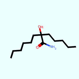 CCCCCCC(O)(CCCCC)C(N)=O